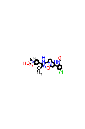 CCc1nc(C2CCc3cc(-c4cc(Cl)ccc4NC=O)cc(=O)n32)[nH]c1-c1ccc(N(C)C(=O)O)cc1